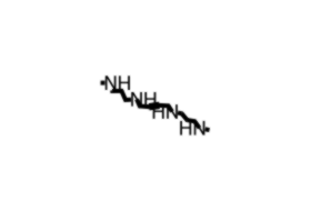 CNCCCNCC#CCNCCCNC